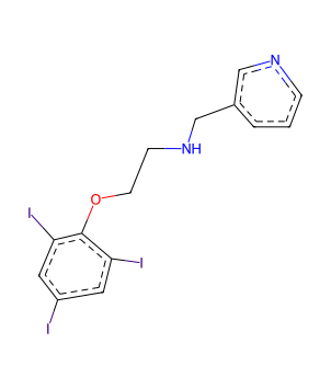 Ic1cc(I)c(OCCNCc2cccnc2)c(I)c1